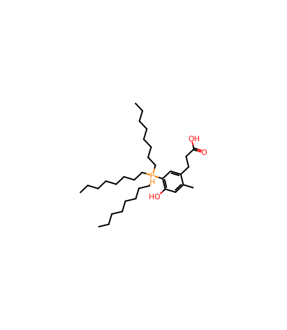 CCCCCCCC[PH](CCCCCCCC)(CCCCCCCC)c1cc(CCC(=O)O)c(C)cc1O